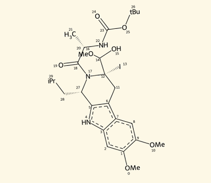 COc1cc2[nH]c3c(c2cc1OC)C[C@](I)(C(O)OC)N(C(=O)[C@H](C)NC(=O)OC(C)(C)C)[C@H]3CC(C)C